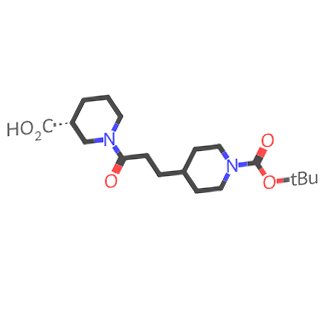 CC(C)(C)OC(=O)N1CCC(CCC(=O)N2CCC[C@@H](C(=O)O)C2)CC1